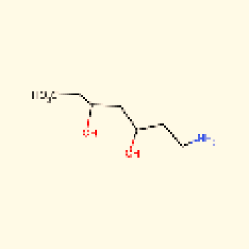 NCCC(O)CC(O)CC(=O)O